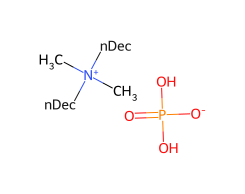 CCCCCCCCCC[N+](C)(C)CCCCCCCCCC.O=P([O-])(O)O